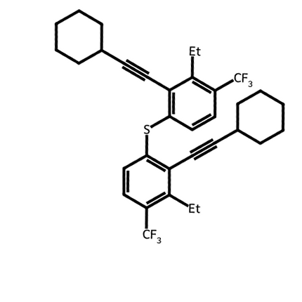 CCc1c(C(F)(F)F)ccc(Sc2ccc(C(F)(F)F)c(CC)c2C#CC2CCCCC2)c1C#CC1CCCCC1